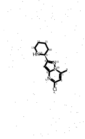 Cc1cc(Cl)nc2cc([C@@H]3CCCCN3)nn12